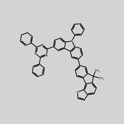 CC1(C)c2cc(-c3ccc4c(c3)c3cc(-c5nc(C6=CCCC=C6)nc(-c6ccccc6)n5)ccc3n4-c3ccccc3)ccc2-c2c1ccc1ccoc21